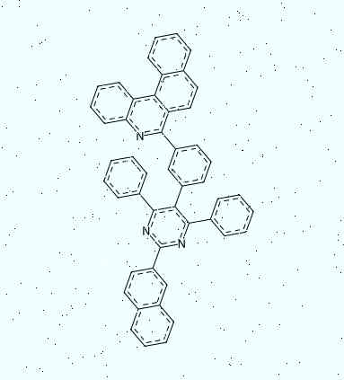 c1ccc(-c2nc(-c3ccc4ccccc4c3)nc(-c3ccccc3)c2-c2cccc(-c3nc4ccccc4c4c3ccc3ccccc34)c2)cc1